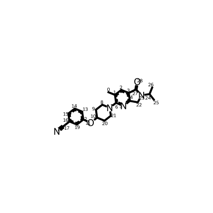 Cc1cc2c(nc1N1CCC(Oc3cccc(C#N)c3)CC1)CN(C(C)C)C2=O